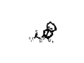 FC(F)(F)C(=S)Nc1ccc2c(c1)C1CCC2CN(C(=S)C(F)(F)F)C1